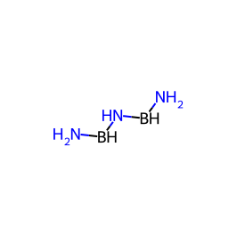 NBNBN